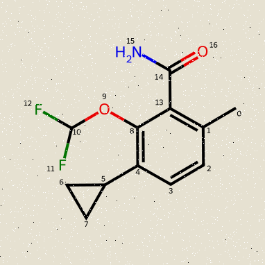 Cc1ccc(C2CC2)c(OC(F)F)c1C(N)=O